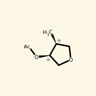 CC(=O)O[C@@H]1COC[C@@H]1C